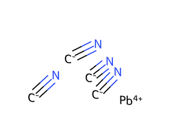 [C-]#N.[C-]#N.[C-]#N.[C-]#N.[Pb+4]